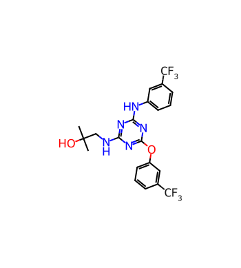 CC(C)(O)CNc1nc(Nc2cccc(C(F)(F)F)c2)nc(Oc2cccc(C(F)(F)F)c2)n1